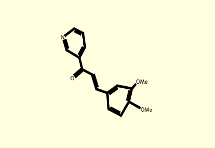 COc1ccc(C=CC(=O)c2cccnc2)cc1OC